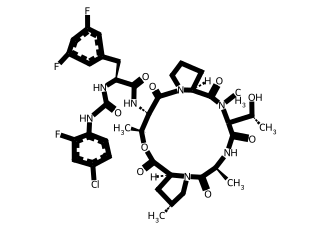 C[C@@H]1C[C@H]2C(=O)O[C@@H](C)[C@H](NC(=O)[C@H](Cc3cc(F)cc(F)c3)NC(=O)Nc3ccc(Cl)cc3F)C(=O)N3CCC[C@H]3C(=O)N(C)C([C@@H](C)O)C(=O)N[C@@H](C)C(=O)N2C1